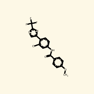 COc1ccc(C(=O)Nc2ccc(-c3csc(C(F)(F)F)n3)c(Cl)c2)cc1